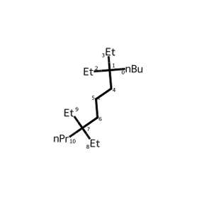 CCCCC(CC)(CC)C[CH]CC(CC)(CC)CCC